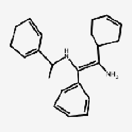 CC(NC(=C(N)C1CC=CCC1)c1ccccc1)C1=CCCC=C1